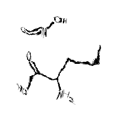 CCCC(N)C(=O)O.O=NO